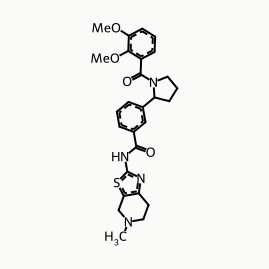 COc1cccc(C(=O)N2CCCC2c2cccc(C(=O)Nc3nc4c(s3)CN(C)CC4)c2)c1OC